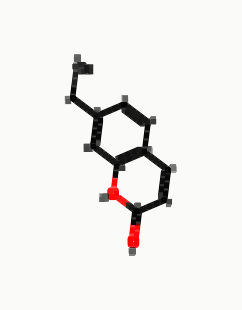 CC(C)(C)Cc1ccc2ccc(=O)oc2c1